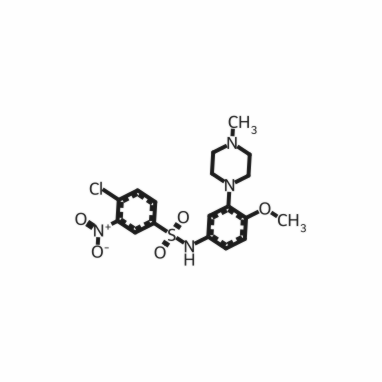 COc1ccc(NS(=O)(=O)c2ccc(Cl)c([N+](=O)[O-])c2)cc1N1CCN(C)CC1